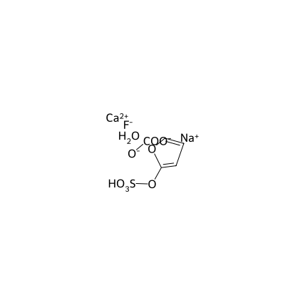 O.O=C([O-])[O-].O=S(=O)(O)Oc1ccco1.[Ca+2].[F-].[Na+]